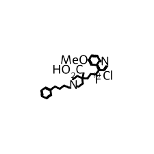 COc1ccc2ncc(Cl)c([C@@H](F)CCC3(CC(=O)O)CCN(CCCCc4ccccc4)CC3)c2c1